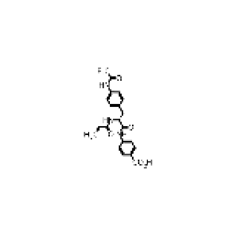 C=CC(=O)N[C@@H](Cc1ccc(NC(=O)C(F)(F)F)cc1)C(=O)Nc1ccc(C(=O)O)cc1